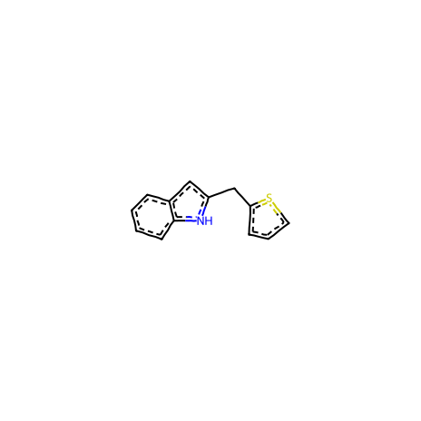 c1csc(Cc2cc3ccccc3[nH]2)c1